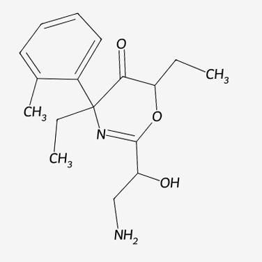 CCC1OC(C(O)CN)=NC(CC)(c2ccccc2C)C1=O